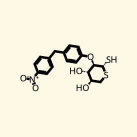 O=[N+]([O-])c1ccc(Cc2ccc(O[C@@H]3[C@@H](O)[C@H](O)CS[C@H]3S)cc2)cc1